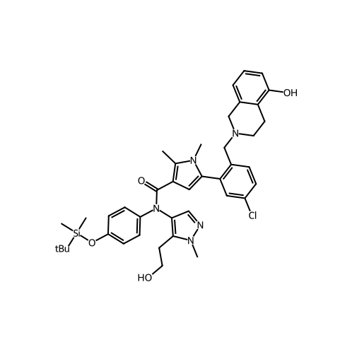 Cc1c(C(=O)N(c2ccc(O[Si](C)(C)C(C)(C)C)cc2)c2cnn(C)c2CCO)cc(-c2cc(Cl)ccc2CN2CCc3c(O)cccc3C2)n1C